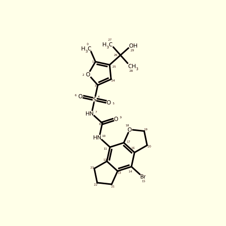 Cc1oc(S(=O)(=O)NC(=O)Nc2c3c(c(Br)c4c2OCC4)CCC3)cc1C(C)(C)O